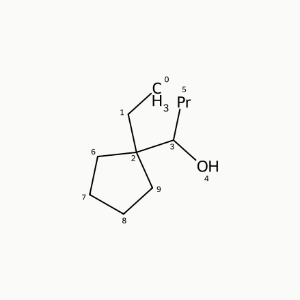 CCC1([CH](O)[Pr])CCCC1